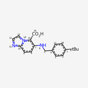 CC(C)(C)c1ccc(CNc2ccc3nccn3c2C(=O)O)cc1